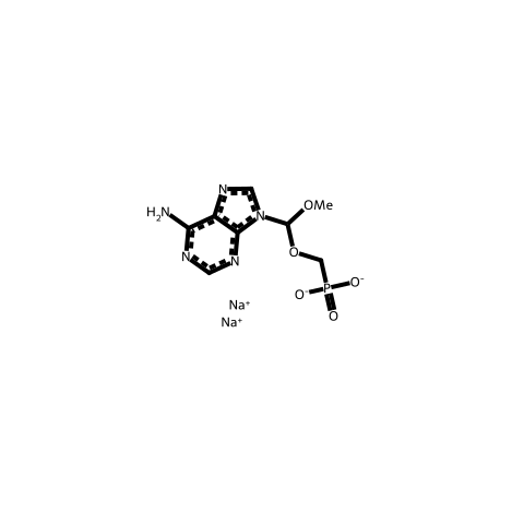 COC(OCP(=O)([O-])[O-])n1cnc2c(N)ncnc21.[Na+].[Na+]